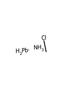 CCl.N.[PbH2]